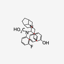 O=C(O)N(c1cccc(F)c1)C(CC1C2CCC1CN(Cc1ccccc1)C2)c1ccc(O)cc1